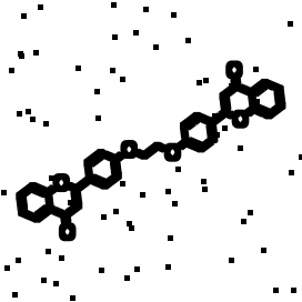 O=c1cc(-c2ccc(OCCOc3ccc(-c4cc(=O)c5ccccc5o4)cc3)cc2)oc2ccccc12